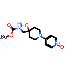 CC(C)(C)OC(=O)NCC1(O)CCN(c2cc[n+]([O-])cc2)CC1